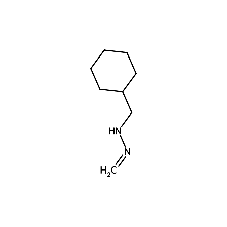 C=NNCC1CCCCC1